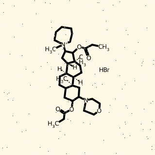 Br.CCC(=O)OC1CC2CC[C@@H]3[C@@H](CC[C@]4(C)C(OC(=O)CC)C([N+]5(C)CCCCCC5)C[C@@H]34)[C@@]2(C)CC1N1CCOCC1